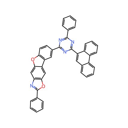 c1ccc(-c2nc(-c3ccc4oc5cc6nc(-c7ccccc7)oc6cc5c4c3)nc(-c3cc4ccccc4c4ccccc34)n2)cc1